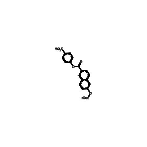 CCCCCCCCCCOc1ccc2[c]c(C(=O)Oc3ccc(C(=O)O)cc3)ccc2c1